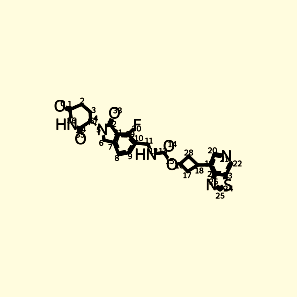 O=C1CC[C@H](N2Cc3ccc(CNC(=O)OC4CC(c5cncc6scnc56)C4)c(F)c3C2=O)C(=O)N1